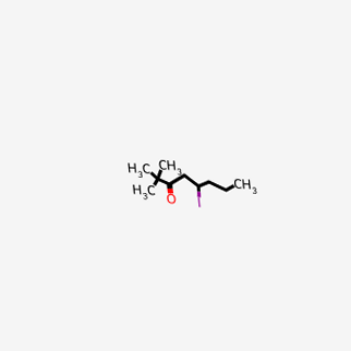 CCCC(I)CC(=O)C(C)(C)C